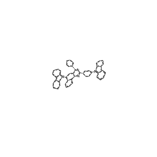 c1ccc(-c2nc(-c3ccc(-n4c5ccccc5c5ccccc54)cc3)nc3c2cc(-n2c4ccccc4c4ccccc42)c2ccccc23)cc1